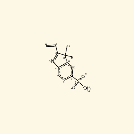 C=CC1=Nc2ccc(S(=O)(=O)O)cc2C1(C)C